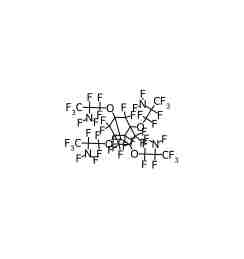 FN(F)C(F)(C(F)(F)F)C(F)(F)OC12C(F)(F)C3(OC(F)(F)C(F)(N(F)F)C(F)(F)F)C(F)(F)C(OC(F)(F)C(F)(N(F)F)C(F)(F)F)(C1(F)F)C(F)(F)C(OC(F)(F)C(F)(N(F)F)C(F)(F)F)(C2(F)F)C3(F)F